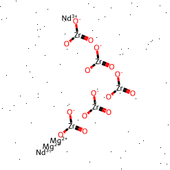 [Mg+2].[Mg+2].[Nd+3].[Nd+3].[O]=[Zr]([O-])[O-].[O]=[Zr]([O-])[O-].[O]=[Zr]([O-])[O-].[O]=[Zr]([O-])[O-].[O]=[Zr]([O-])[O-]